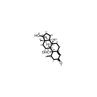 CC1CC(=O)C=C2CC[C@@H]3[C@@H](CC[C@]4(C)C(O)CC[C@@H]34)[C@]21C=O